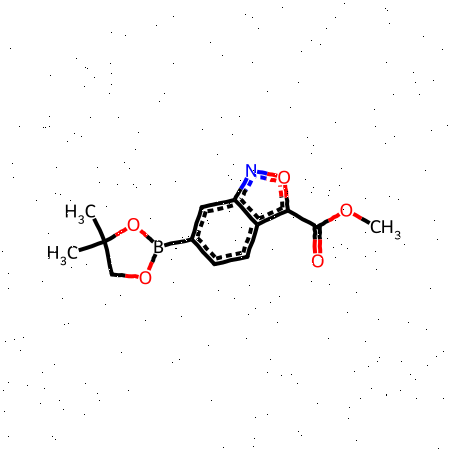 COC(=O)c1onc2cc(B3OCC(C)(C)O3)ccc12